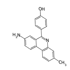 Cc1ccc2c(c1)nc(-c1ccc(O)cc1)c1cc(N)ccc12